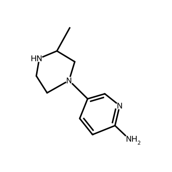 CC1CN(c2ccc(N)nc2)CCN1